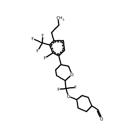 CCCc1ccc(C2CCC(C(F)(F)OC3CCC(C=O)CC3)OC2)c(F)c1C(F)(F)F